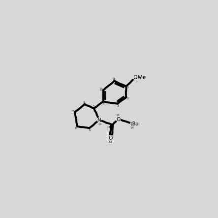 COc1ccc(C2CCCCN2C(=O)OC(C)(C)C)cc1